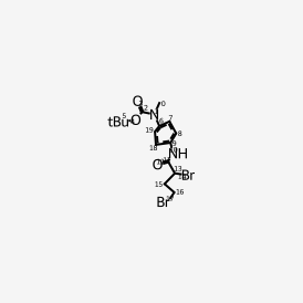 CN(C(=O)OC(C)(C)C)c1ccc(NC(=O)C(Br)CCBr)cc1